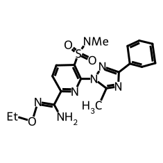 CCO/N=C(\N)c1ccc(S(=O)(=O)NC)c(-n2nc(-c3ccccc3)nc2C)n1